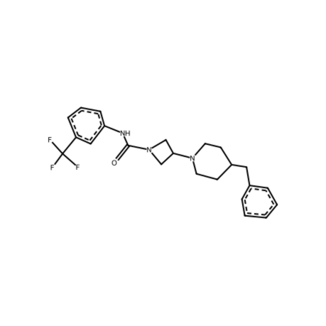 O=C(Nc1cccc(C(F)(F)F)c1)N1CC(N2CCC(Cc3ccccc3)CC2)C1